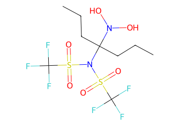 CCCC(CCC)(N(O)O)N(S(=O)(=O)C(F)(F)F)S(=O)(=O)C(F)(F)F